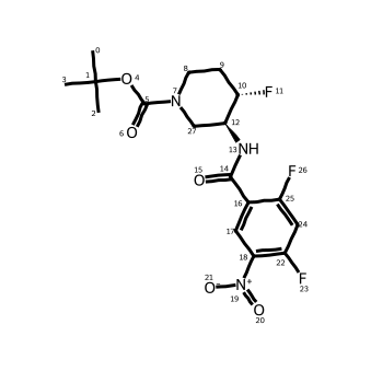 CC(C)(C)OC(=O)N1CC[C@H](F)[C@@H](NC(=O)c2cc([N+](=O)[O-])c(F)cc2F)C1